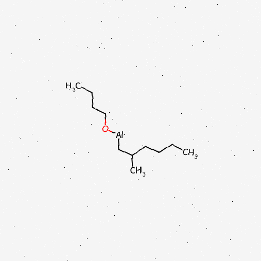 CCCC[O][Al][CH2]C(C)CCCC